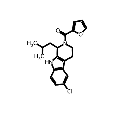 CC(C)CC1c2[nH]c3ccc(Cl)cc3c2CCN1C(=O)c1ccco1